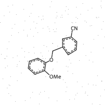 COc1cc[c]cc1OCc1cccc(C#N)c1